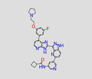 O=C(Nc1cncc(-c2ccc3[nH]nc(-c4nc5c(-c6cc(F)cc(OCCN7CCCC7)c6)ccnc5[nH]4)c3n2)c1)C1CCC1